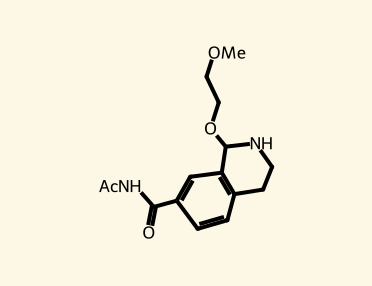 COCCOC1NCCc2ccc(C(=O)NC(C)=O)cc21